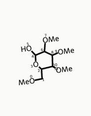 COCC1OC(O)C(OC)C(OC)C1OC